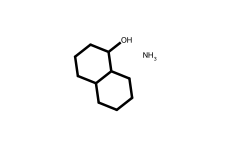 N.OC1CCCC2CCCCC12